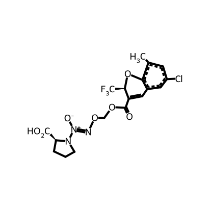 Cc1cc(Cl)cc2c1O[C@H](C(F)(F)F)C(C(=O)OCO/N=[N+](\[O-])N1CCC[C@H]1C(=O)O)=C2